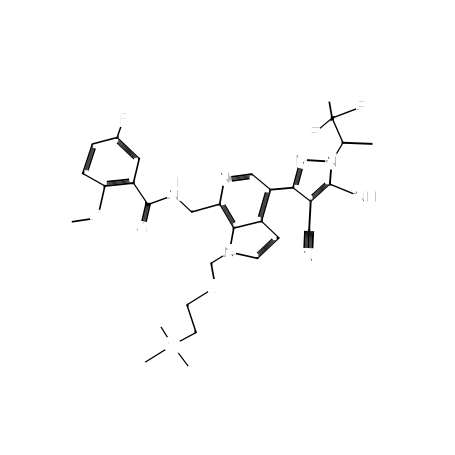 COc1ccc(F)cc1C(=O)NCc1ncc(-c2nn(C(C)C(F)(F)F)c(N)c2C#N)c2ccn(COCC[Si](C)(C)C)c12